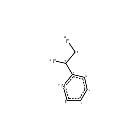 FCC(F)c1ccc[c]n1